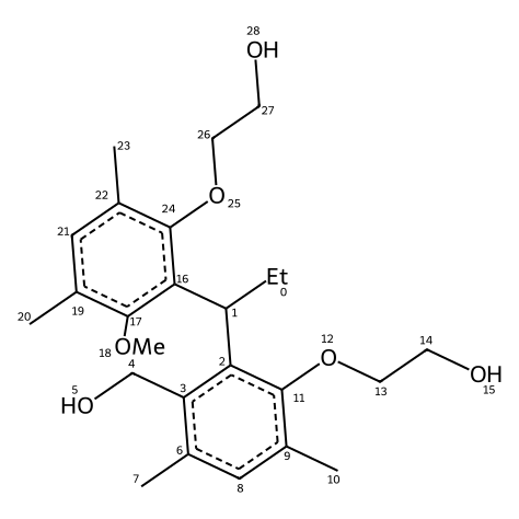 CCC(c1c(CO)c(C)cc(C)c1OCCO)c1c(OC)c(C)cc(C)c1OCCO